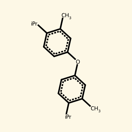 Cc1cc(Oc2ccc(C(C)C)c(C)c2)ccc1C(C)C